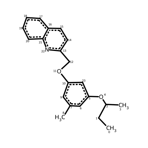 CCC(C)Oc1cc(C)cc(OCc2ccc3ccccc3n2)c1